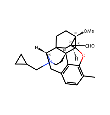 CO[C@]12CCC3(C[C@@H]1C=O)[C@H]1Cc4ccc(C)c5c4[C@@]3(CCN1CC1CC1)[C@H]2O5